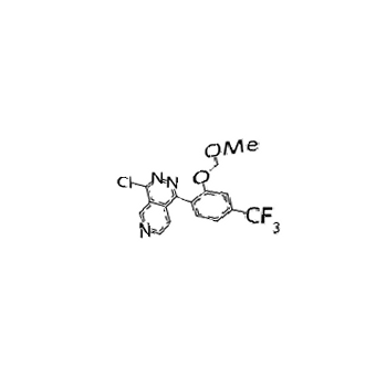 COCOc1cc(C(F)(F)F)ccc1-c1nnc(Cl)c2cnccc12